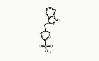 CS(=O)(=O)c1ncc(Cc2c[nH]c3ncccc23)cn1